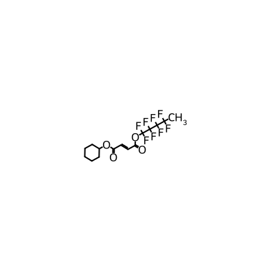 CC(F)(F)C(F)(F)C(F)(F)C(F)(F)OC(=O)/C=C/C(=O)OC1CCCCC1